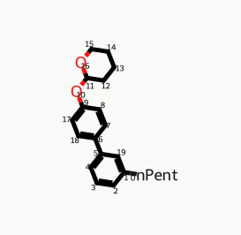 CCCCCc1cccc(-c2ccc(OC3CCCCO3)cc2)c1